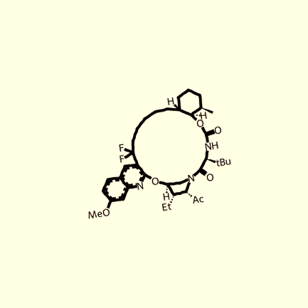 CC[C@@H]1[C@@H]2CN(C(=O)[C@H](C(C)(C)C)NC(=O)O[C@H]3[C@H](CCCCCC(F)(F)c4cc5ccc(OC)cc5nc4O2)CCC[C@H]3C)[C@@H]1C(C)=O